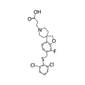 O=C(O)CCN1CCC2(CC1)COc1c2ccc(CSc2c(Cl)cccc2Cl)c1F